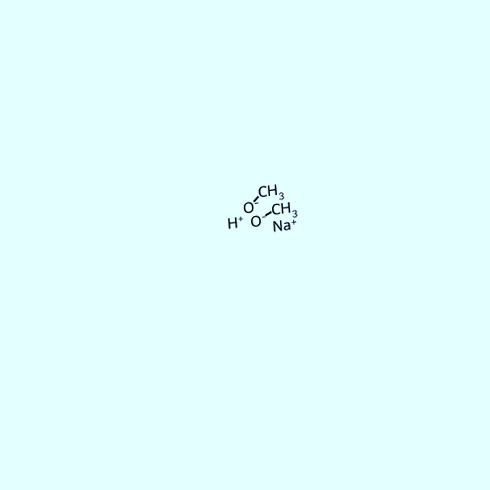 C[O-].C[O-].[H+].[Na+]